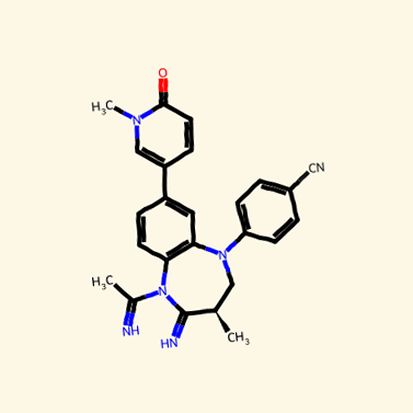 CC(=N)N1C(=N)[C@H](C)CN(c2ccc(C#N)cc2)c2cc(-c3ccc(=O)n(C)c3)ccc21